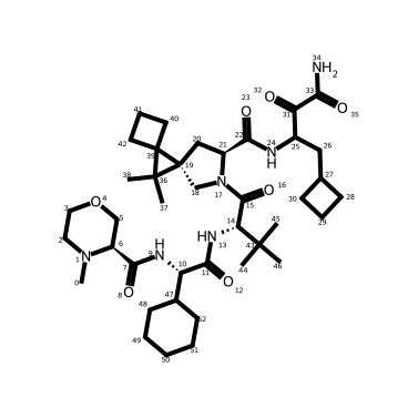 CN1CCOC[C@H]1C(=O)N[C@H](C(=O)N[C@H](C(=O)N1C[C@]2(C[C@H]1C(=O)NC(CC1CCC1)C(=O)C(N)=O)C(C)(C)C21CCC1)C(C)(C)C)C1CCCCC1